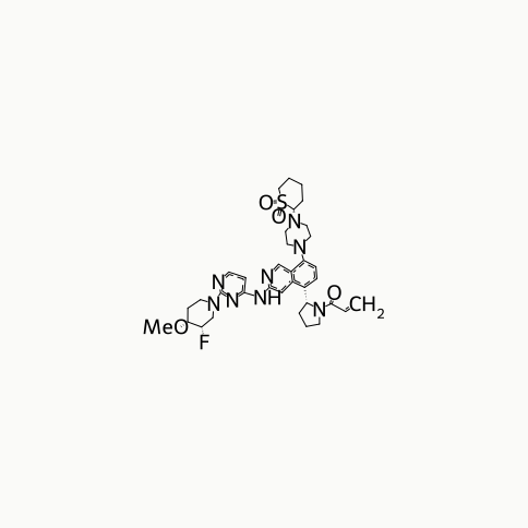 C=CC(=O)N1CCC[C@@H]1c1ccc(N2CCN([C@H]3CCCCS3(=O)=O)CC2)c2cnc(Nc3ccnc(N4CC[C@@H](OC)[C@@H](F)C4)n3)cc12